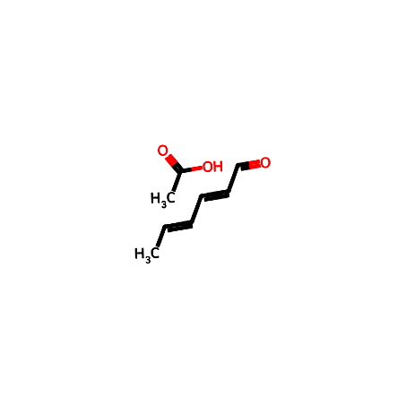 CC(=O)O.CC=C/C=C/C=O